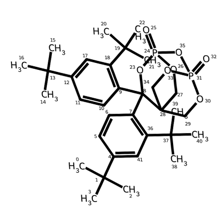 CC(C)(C)c1ccc(C2(c3ccc(C(C)(C)C)cc3C(C)(C)C)OP3(=O)OCC24COP(=O)(OC4)O3)c(C(C)(C)C)c1